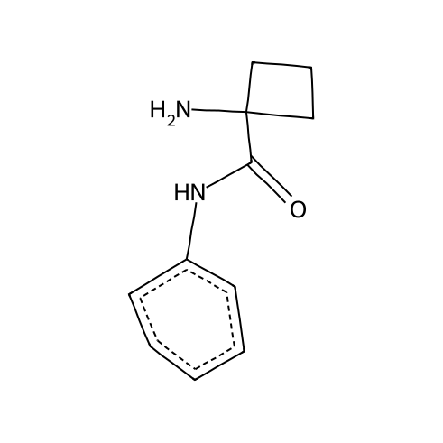 NC1(C(=O)Nc2ccccc2)CCC1